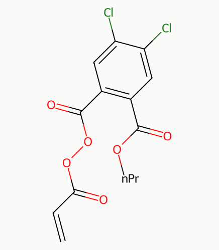 C=CC(=O)OOC(=O)c1cc(Cl)c(Cl)cc1C(=O)OCCC